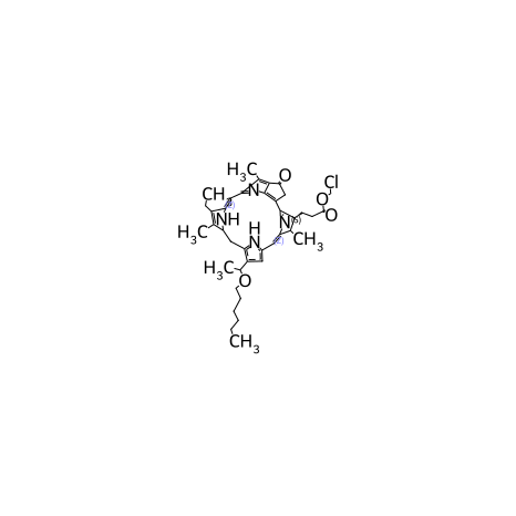 CCCCCCOC(C)c1cc2[nH]c1CC1N/C(=C\C3=NC4=C(CC(=O)C4=C3C)C3=N/C(=C\2)C(C)[C@@H]3CCC(=O)OCCl)C(CC)=C1C